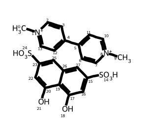 C[n+]1ccc(-c2cc[n+](C)cc2)cc1.O=S(=O)(O)c1cc(O)c2c(O)cc(S(=O)(=O)O)cc2c1